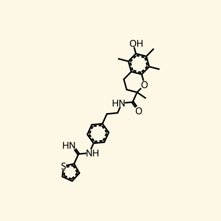 Cc1c(C)c2c(c(C)c1O)CCC(C)(C(=O)NCCc1ccc(NC(=N)c3cccs3)cc1)O2